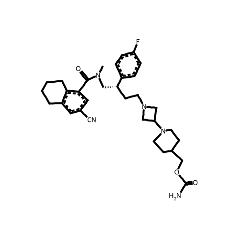 CN(C[C@@H](CCN1CC(N2CCC(COC(N)=O)CC2)C1)c1ccc(F)cc1)C(=O)c1cc(C#N)cc2c1CCCC2